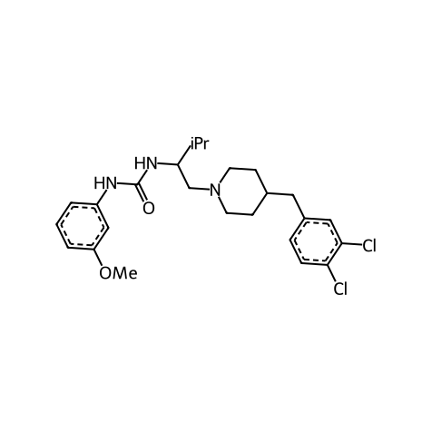 COc1cccc(NC(=O)NC(CN2CCC(Cc3ccc(Cl)c(Cl)c3)CC2)C(C)C)c1